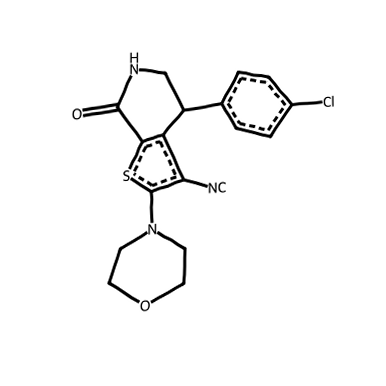 [C-]#[N+]c1c(N2CCOCC2)sc2c1C(c1ccc(Cl)cc1)CNC2=O